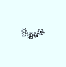 Cl.c1ccc2c(CCN3CCC(c4cc(-c5ccc6c(c5)OCCO6)no4)CC3)cccc2c1